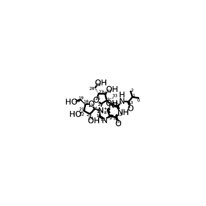 CC(C)C(=O)Nc1nc2c(c(=O)[nH]1)N=C[N+]2([C@@H]1O[C@H](CO)[C@@H](O)[C@H]1O)[C@@H]1O[C@H](CO)[C@@H](O)[C@@]1(C)O